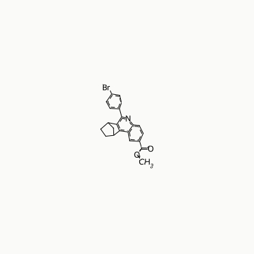 COC(=O)c1ccc2nc(-c3ccc(Br)cc3)c3c(c2c1)C1CCC3C1